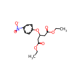 CCOC(=O)CC(CC(=O)OCC)Oc1ccc([N+](=O)[O-])cc1